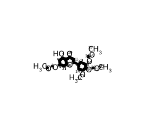 COCOc1cc(O)c2c(=O)cc(-c3cc(OC)c(OCOC)c(OCOC)c3)oc2c1